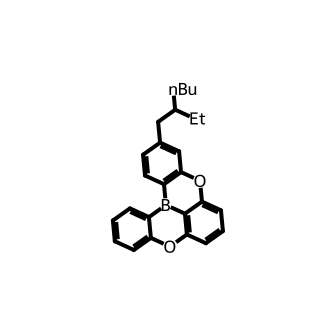 CCCCC(CC)Cc1ccc2c(c1)Oc1cccc3c1B2c1ccccc1O3